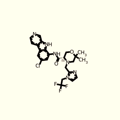 CC1(C)CN(Cc2nccn2CC(F)(F)F)[C@H](C(=O)Nc2cc(Cl)cc3c2[nH]c2cnccc23)CO1